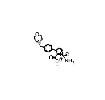 NS(=O)(=O)n1ccc(-c2ccc(CN3CCOCC3)cc2)c1C(=O)O